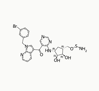 NSOC[C@H]1C[C@@H](Nc2ncncc2C(=O)c2cn(Cc3cccc(Br)c3)c3ncccc23)[C@H](O)[C@@H]1O